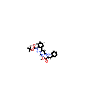 COC(=O)C(Cc1ccccc1)Nc1cc(-c2ccccc2NC(=O)OC(C)(C)C)ncn1